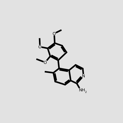 COc1ccc(-c2c(C)ccc3c(N)nccc23)c(OC)c1OC